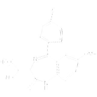 COc1ccc2c(c1)C(c1ccc(Cl)cc1)=N[C@@H](C(C)C(=O)O)C(=O)N2